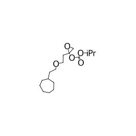 CC(C)OC(=O)OC1(CCOCCC2CCCCCC2)CO1